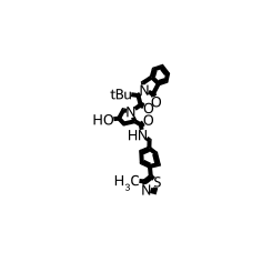 Cc1ncsc1-c1ccc(CNC(=O)C2CC(O)CN2C(=O)C(N2Cc3ccccc3C2=O)C(C)(C)C)cc1